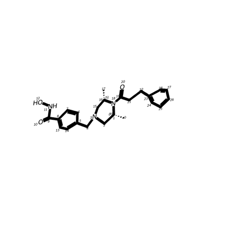 C[C@@H]1CN(Cc2ccc(C(=O)NO)cc2)C[C@H](C)N1C(=O)CCc1ccccc1